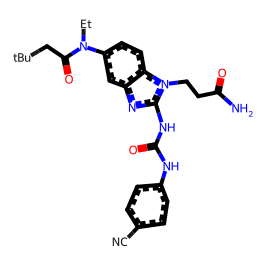 CCN(C(=O)CC(C)(C)C)c1ccc2c(c1)nc(NC(=O)Nc1ccc(C#N)cc1)n2CCC(N)=O